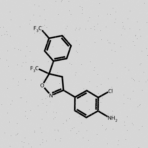 Nc1ccc(C2=NOC(c3cccc(C(F)(F)F)c3)(C(F)(F)F)C2)cc1Cl